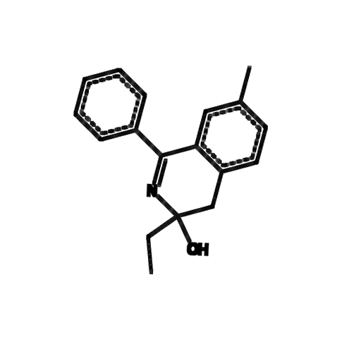 CCC1(O)Cc2ccc(C)cc2C(c2ccccc2)=N1